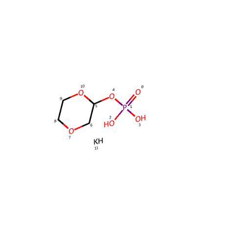 O=P(O)(O)OC1COCCO1.[KH]